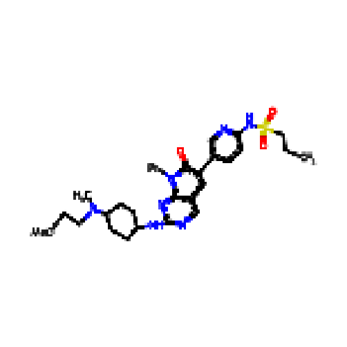 COCCN(C)C1CCC(Nc2ncc3cc(-c4ccc(NS(=O)(=O)CCC(F)(F)F)nc4)c(=O)n(C(C)C)c3n2)CC1